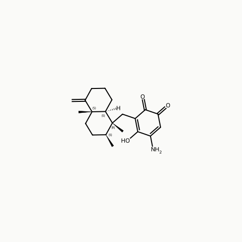 C=C1CCC[C@H]2[C@](C)(CC3=C(O)C(N)=CC(=O)C3=O)[C@@H](C)CC[C@]12C